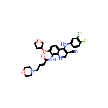 N#Cc1cnc2c(NC(=O)/C=C/CN3CCOCC3)c(O[C@H]3CCOC3)ccc2c1Nc1ccc(F)c(Cl)c1